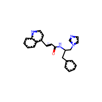 O=C(/C=C/c1ccnc2ccccc12)NC(Cc1ccccc1)Cn1ccnc1